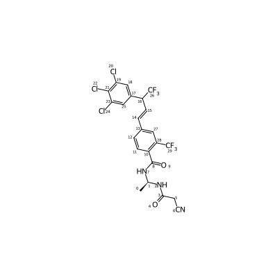 C[C@H](NC(=O)CC#N)NC(=O)c1ccc(C=CC(c2cc(Cl)c(Cl)c(Cl)c2)C(F)(F)F)cc1C(F)(F)F